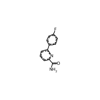 NC(=O)c1cccc(-c2ccc(F)cc2)n1